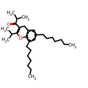 CCCCCCCc1cc(CCCCCCC)c2c(c1)CC(C(=O)C(C)C)=C(C(C)C)O2